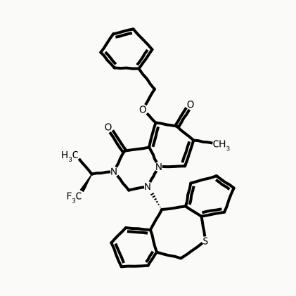 Cc1cn2c(c(OCc3ccccc3)c1=O)C(=O)N([C@H](C)C(F)(F)F)CN2[C@H]1c2ccccc2CSc2ccccc21